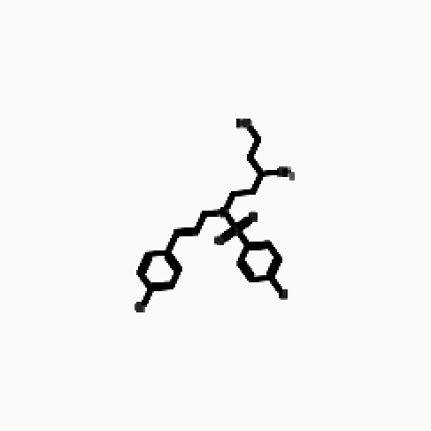 CC(CCO)CCN(CC=Cc1ccc(Cl)cc1)S(=O)(=O)c1ccc(Cl)cc1